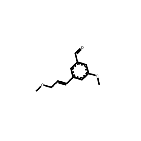 COCC=Cc1cc(C=O)cc(OC)c1